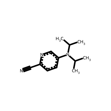 CC(C)N(c1ccc(C#N)nc1)C(C)C